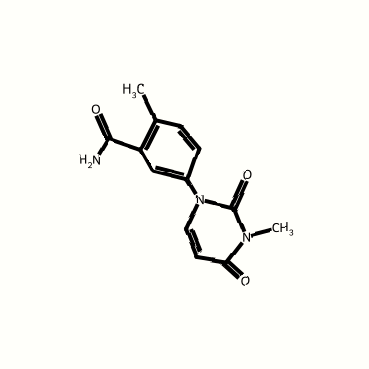 Cc1ccc(-n2ccc(=O)n(C)c2=O)cc1C(N)=O